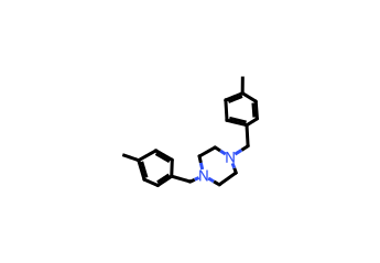 Cc1ccc(CN2CCN(Cc3ccc(C)cc3)CC2)cc1